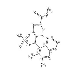 COC(=O)c1ccc(C(OS(C)(=O)=O)c2c(C)c(C)nc3ccccc23)cc1